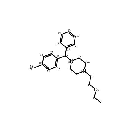 CCOCCN1CCN(C(c2ccccc2)c2ccc([18F])cc2)CC1